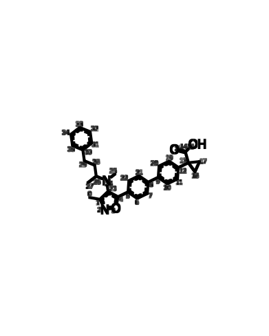 Cc1noc(-c2ccc(-c3ccc(C4(C(=O)O)CC4)cc3)cc2)c1N(C)C(C)CCc1ccccc1